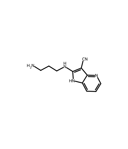 N#Cc1c(NCCCN)[nH]c2cccnc12